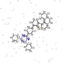 c1ccc(-c2nc(-c3ccccc3)nc(-c3ccc(-c4cccc5c4sc4ccc6ccc7ccccc7c6c45)cc3)n2)cc1